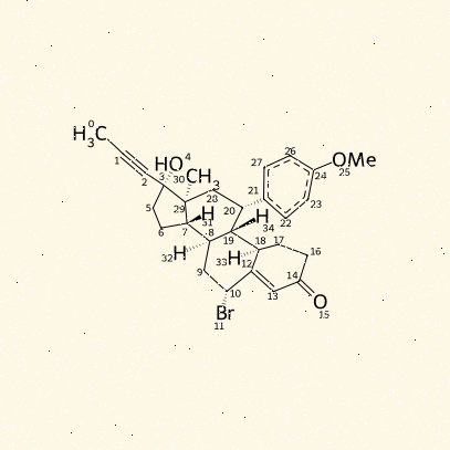 CC#C[C@]1(O)CC[C@H]2[C@@H]3C[C@@H](Br)C4=CC(=O)CC[C@@H]4[C@H]3[C@@H](c3ccc(OC)cc3)C[C@@]21C